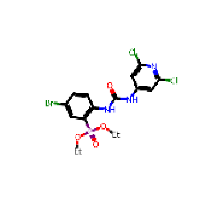 CCOP(=O)(OCC)c1cc(Br)ccc1NC(=O)Nc1cc(Cl)nc(Cl)c1